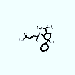 CC(C)C1CCC(C)(c2ccccc2)CC1OC(=O)C=CC(=O)O